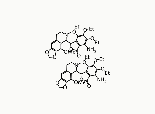 CCOc1c(N)c2c(c(OCC)c1OCC)C(C1c3c(cc4c(c3OC)OCO4)CCN1C)OC2=O.CCOc1c(N)c2c(c(OCC)c1OCC)C(C1c3c(cc4c(c3OC)OCO4)CCN1C)OC2=O